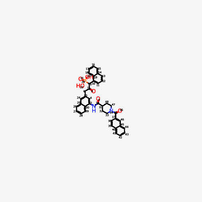 O=C(Nc1cc(CC(=O)C(c2cccc3ccccc23)P(=O)(O)O)cc2ccccc12)C1CCN(C(=O)c2ccc3ccccc3c2)CC1